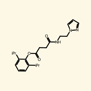 CC(C)c1cccc(C(C)C)c1OC(=O)CCC(=O)NCCn1cccn1